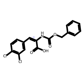 O=C(N/C(=C/c1ccc(Cl)c(Cl)c1)C(=O)O)OCc1ccccc1